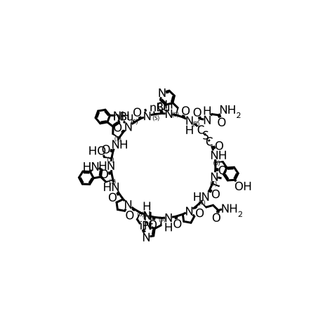 CCCC[C@H]1C(=O)N(C)[C@@H](CCCC)C(=O)N[C@@H](Cc2ccncc2)C(=O)N[C@H](C(=O)NCC(N)=O)CSCC(=O)N[C@@H](Cc2ccc(O)cc2)C(=O)N(C)[C@@H](C)C(=O)N[C@@H](CCC(N)=O)C(=O)N2CCCC2C(=O)N[C@@H](Cc2cnc[nH]2)C(=O)N[C@@H](CC(C)C)C(=O)N2CCCC2C(=O)N[C@@H](Cc2c[nH]c3ccccc23)C(=O)N[C@@H](CO)C(=O)N[C@@H](Cc2c[nH]c3ccccc23)C(=O)N1C